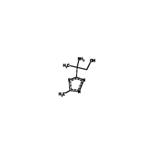 Cc1nnc(C(C)(N)CO)s1